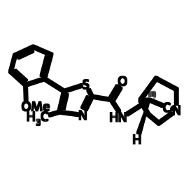 COc1ccccc1-c1sc(C(=O)N[C@H]2CN3CCC2CC3)nc1C